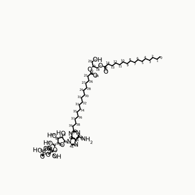 CCCCCCCCCCCCCCCC(=O)OCC(CO)OC(=O)CCCCCCCCCCCCCCCc1nc(N)c2ncn([C@@H]3O[C@H](C(O)OP(=O)(O)OP(=O)(O)O)[C@@H](O)[C@@H]3O)c2n1